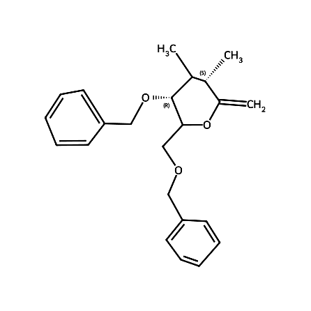 C=C1OC(COCc2ccccc2)[C@H](OCc2ccccc2)C(C)[C@@H]1C